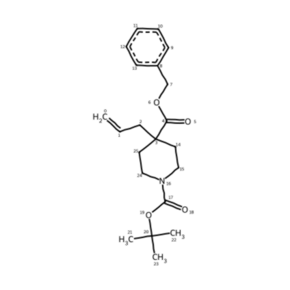 C=CCC1(C(=O)OCc2ccccc2)CCN(C(=O)OC(C)(C)C)CC1